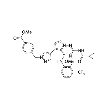 COC(=O)c1ccc(Cn2cc(-c3ccn4nc(NC(=O)C5CC5)nc(Nc5cccc(C(F)(F)F)c5OC)c34)cn2)cc1